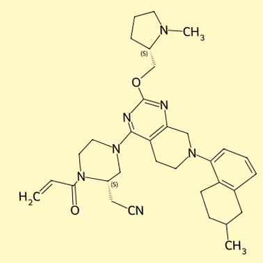 C=CC(=O)N1CCN(c2nc(OC[C@@H]3CCCN3C)nc3c2CCN(c2cccc4c2CCC(C)C4)C3)C[C@@H]1CC#N